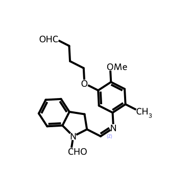 COc1cc(C)c(/N=C\C2Cc3ccccc3N2C=O)cc1OCCCC=O